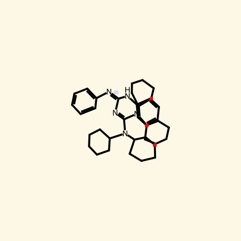 c1ccc(/N=C(\N=C(N(C2CCCCC2)C2CCCCC2)N(C2CCCCC2)C2CCCCC2)Nc2ccccc2)cc1